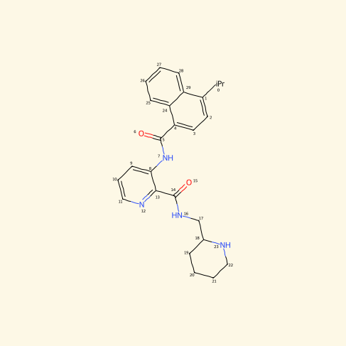 CC(C)c1ccc(C(=O)Nc2cccnc2C(=O)NCC2CCCCN2)c2ccccc12